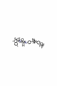 Cc1ccc(C(C)C)c(N2C(=S)CS/C2=N\C(=O)N/N=C/c2ccc(-c3ncn(-c4ccc(OC(F)(F)F)cc4)n3)cc2)c1